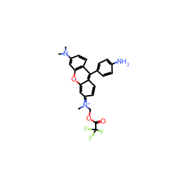 CN(C)c1ccc2c(-c3ccc(N)cc3)c3ccc(=[N+](C)COC(=O)C(F)(F)F)cc-3oc2c1